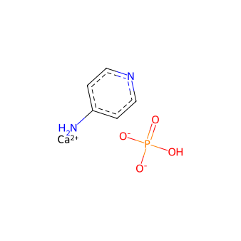 Nc1ccncc1.O=P([O-])([O-])O.[Ca+2]